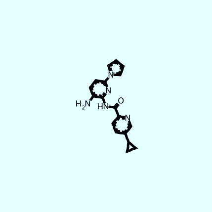 Nc1ccc(-n2cccc2)nc1NC(=O)c1ccc(C2CC2)cn1